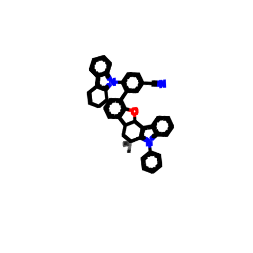 C[C@@H]1CC2c3cccc(-c4cc(C#N)ccc4-n4c5c(c6ccccc64)C=CCC5)c3OC2c2c1n(-c1ccccc1)c1ccccc21